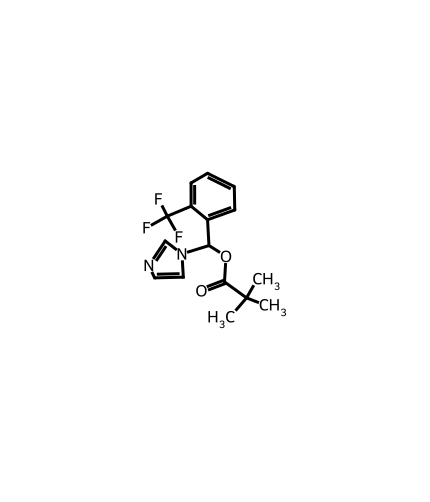 CC(C)(C)C(=O)OC(c1ccccc1C(F)(F)F)n1ccnc1